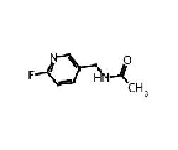 CC(=O)NCc1ccc(F)nc1